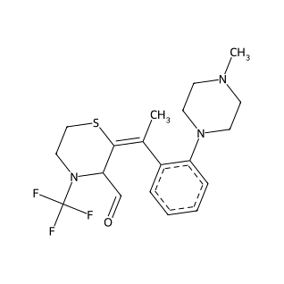 CC(=C1SCCN(C(F)(F)F)C1C=O)c1ccccc1N1CCN(C)CC1